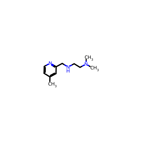 Cc1ccnc(CNCCN(C)C)c1